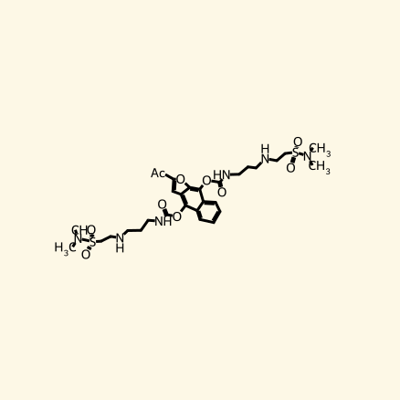 CC(=O)c1cc2c(OC(=O)NCCCNCCS(=O)(=O)N(C)C)c3ccccc3c(OC(=O)NCCCNCCS(=O)(=O)N(C)C)c2o1